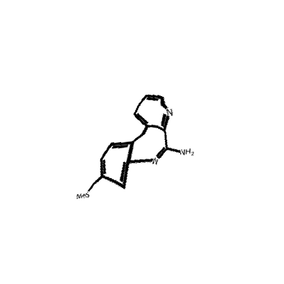 CSc1ccc2c(c1)nc(N)c1ncccc12